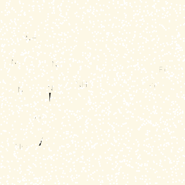 CCOc1ccccc1-c1ccc(CNc2nc3c(N)ncnc3n2[C@H]2CC[C@@H](CO)O2)cc1